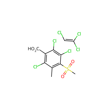 Cc1c(Cl)c(C(=O)O)c(Cl)c(Cl)c1S(C)(=O)=O.ClC=C(Cl)Cl